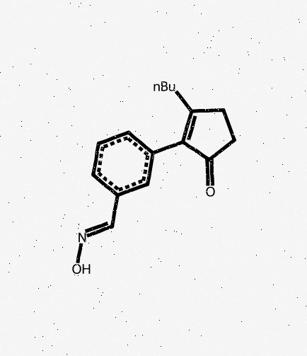 CCCCC1=C(c2cccc(C=NO)c2)C(=O)CC1